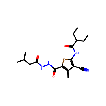 CCC(CC)C(=O)Nc1sc(C(=O)NNC(=O)CC(C)C)c(C)c1C#N